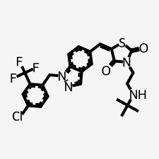 CC(C)(C)NCCN1C(=O)SC(=Cc2ccc3c(cnn3Cc3ccc(Cl)cc3C(F)(F)F)c2)C1=O